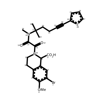 COc1cc2c(cc1Br)C(C(=O)O)N(C(=O)C(=O)N(C)C(C)(C)CCC#Cc1cccs1)CC2